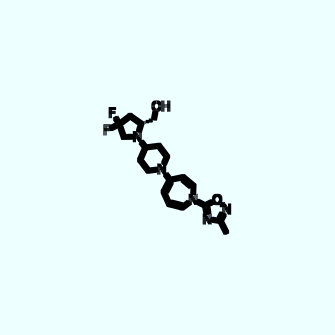 Cc1noc(N2C=CC=C(N3CCC(N4CC(F)(F)C[C@@H]4CO)CC3)C=C2)n1